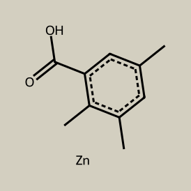 Cc1cc(C)c(C)c(C(=O)O)c1.[Zn]